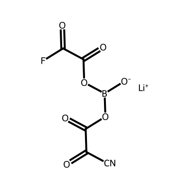 N#CC(=O)C(=O)OB([O-])OC(=O)C(=O)F.[Li+]